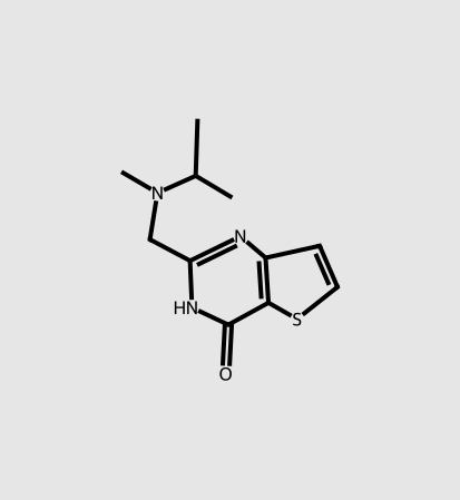 CC(C)N(C)Cc1nc2ccsc2c(=O)[nH]1